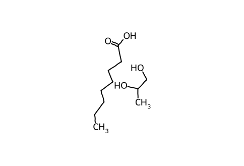 CC(O)CO.CCCCCCCC(=O)O